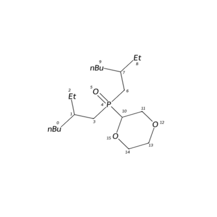 CCCCC(CC)CP(=O)(CC(CC)CCCC)C1COCCO1